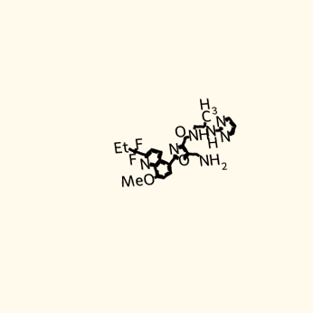 CCC(F)(F)c1ccc2c(-c3nc(C(=O)NCC(C)Nc4ncccn4)c(CN)o3)ccc(OC)c2n1